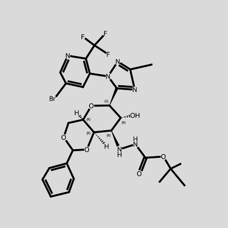 Cc1nc([C@@H]2O[C@@H]3COC(c4ccccc4)O[C@@H]3[C@H](NNC(=O)OC(C)(C)C)[C@H]2O)n(-c2cc(Br)cnc2C(F)(F)F)n1